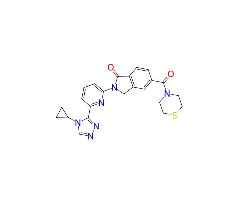 O=C(c1ccc2c(c1)CN(c1cccc(-c3nncn3C3CC3)n1)C2=O)N1CCSCC1